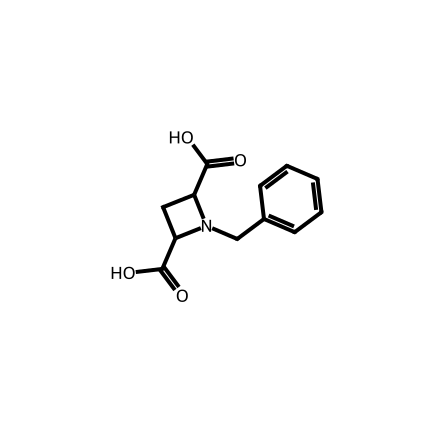 O=C(O)C1CC(C(=O)O)N1Cc1ccccc1